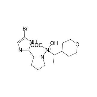 CC(C1CCOCC1)[N+](O)(C(=O)[O-])N1CCCC1c1ncc(Br)[nH]1